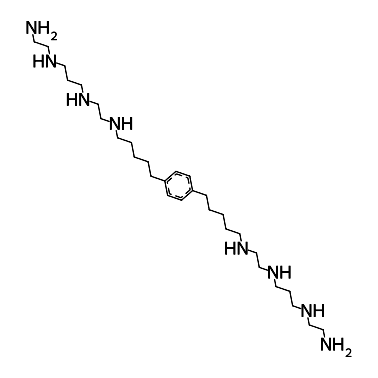 NCCNCCCNCCNCCCCCc1ccc(CCCCCNCCNCCCNCCN)cc1